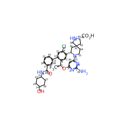 Nc1nc(O[C@H](c2ccc(Cl)cc2-c2cccc(C(=O)NC3CCC(O)CC3)c2)C(F)(F)F)cc(N2CCC3(CC2)CN[C@H](C(=O)O)C3)n1